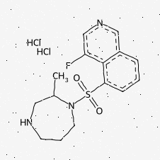 CC1CNCCCN1S(=O)(=O)c1cccc2cncc(F)c12.Cl.Cl